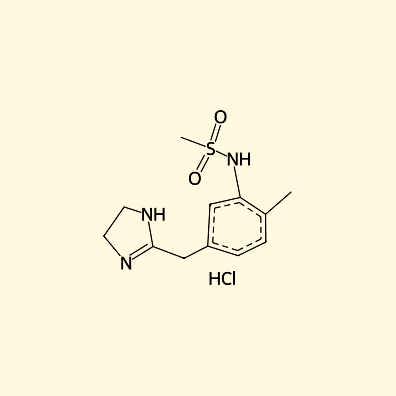 Cc1ccc(CC2=NCCN2)cc1NS(C)(=O)=O.Cl